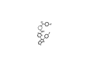 [O-][S+](c1ccc(F)cc1)N1CCC[C@@H](Nc2nccc(-c3c(-c4ccc(F)cc4)nc4sccn34)n2)C1